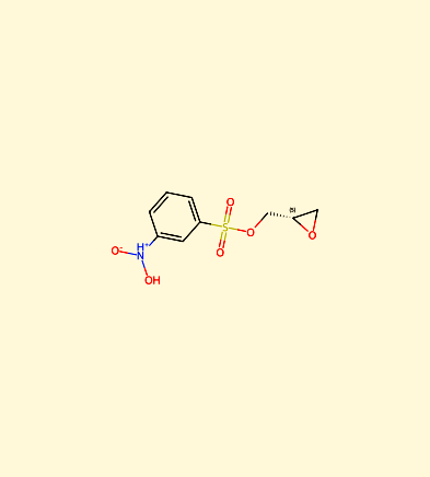 O=S(=O)(OC[C@@H]1CO1)c1cccc([NH+]([O-])O)c1